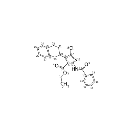 CCOC(=O)c1c(NC(=O)c2ccccc2)sc(Cl)c1C1CCc2ccccc2C1